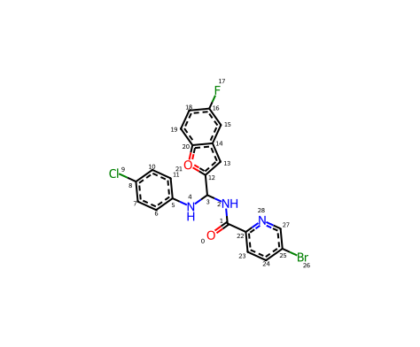 O=C(NC(Nc1ccc(Cl)cc1)c1cc2cc(F)ccc2o1)c1ccc(Br)cn1